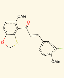 COc1ccc(/C=C/C(=O)c2c(OC)ccc3c2SCO3)cc1F